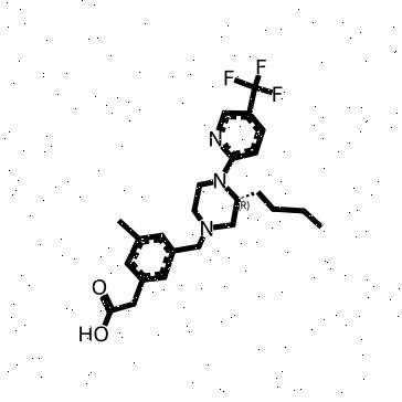 CCCC[C@@H]1CN(Cc2cc(C)cc(CC(=O)O)c2)CCN1c1ccc(C(F)(F)F)cn1